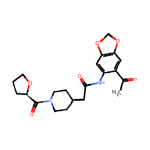 CC(=O)c1cc2c(cc1NC(=O)CC1CCN(C(=O)[C@H]3CCCO3)CC1)OCO2